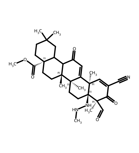 CNN[C@@]12CC[C@]3(C)C(=CC(=O)C4C5CC(C)(C)CC[C@]5(C(=O)OC)CC[C@]43C)[C@@]1(C)C=C(C#N)C(=O)[C@@]2(C)C=O